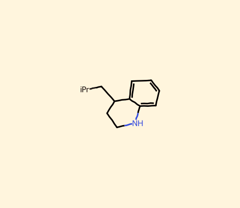 CC(C)CC1CCNc2ccccc21